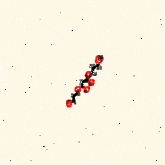 O=CCCOC(=O)CC(=O)OCCC=O